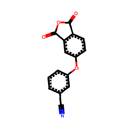 N#Cc1cccc(Oc2ccc3c(c2)C(=O)OC3=O)c1